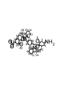 COc1cc(N)cc2c1OC1(C=C2)N(Cc2ccc(CN3c4ccccc4C(C)(C)C34C=Cc3cc([N+](=O)[O-])cc(OC)c3O4)cc2)c2ccccc2C1(C)C